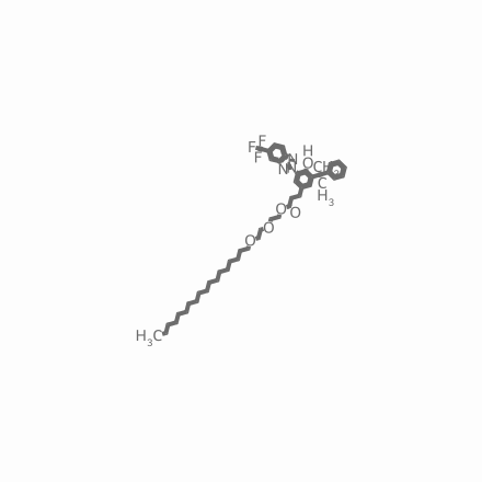 CCCCCCCCCCCCCCCCCCOCCOCCOC(=O)CCc1cc(-n2nc3ccc(C(F)(F)F)cc3n2)c(O)c(C(C)(C)c2ccccc2)c1